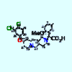 COc1ccccc1C(C(=O)O)N1CCC(CN2CCC(Oc3ccc(Cl)c(Cl)c3)CC2)CC1